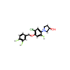 OC1CCN(c2cc(Cl)c(OCc3ccc(F)c(F)c3)cc2F)C1